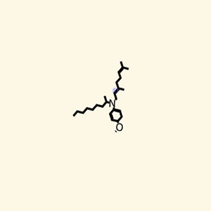 CCCCCCCC(C)N(C/C=C(\C)CCC=C(C)C)C1=CCC(OC)C=C1